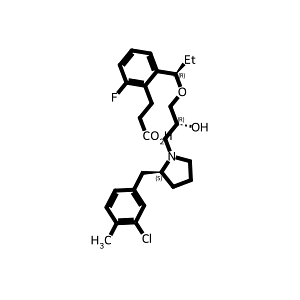 CC[C@@H](OC[C@H](O)CN1CCC[C@H]1Cc1ccc(C)c(Cl)c1)c1cccc(F)c1CCC(=O)O